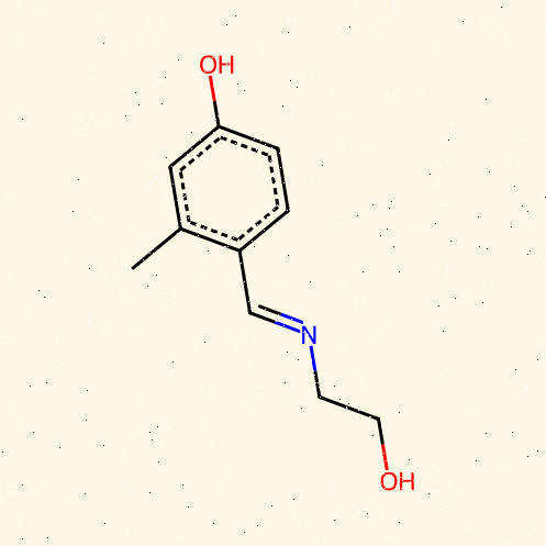 Cc1cc(O)ccc1/C=N/CCO